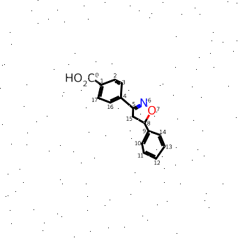 O=C(O)c1ccc(C2=NOC(c3ccccc3)C2)cc1